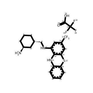 N[C@H]1CCC[C@H](CNc2cc(C(F)(F)F)cc3c2Nc2ccccc2S3)C1.O=C(O)C(F)(F)F